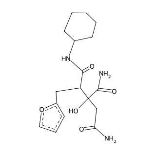 NC(=O)CC(O)(C(N)=O)C(Cc1ccco1)C(=O)NC1CCCCC1